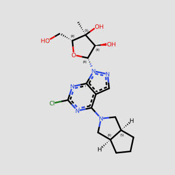 C[C@@]1(O)[C@@H](CO)O[C@@H](n2ncc3c(N4C[C@H]5CCC[C@H]5C4)nc(Cl)nc32)[C@@H]1O